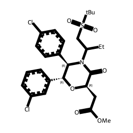 CCC(CS(=O)(=O)C(C)(C)C)N1C(=O)[C@@H](CC(=O)OC)O[C@H](c2cccc(Cl)c2)[C@H]1c1ccc(Cl)cc1